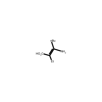 CCCCC(N)=C(CC)C(=O)O